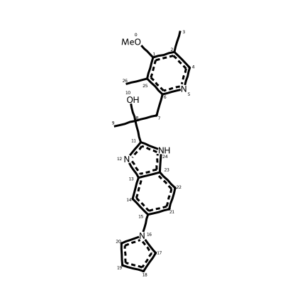 COc1c(C)cnc(CC(C)(O)c2nc3cc(-n4cccc4)ccc3[nH]2)c1C